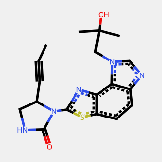 CC#CC1CNC(=O)N1c1nc2c(ccc3ncn(CC(C)(C)O)c32)s1